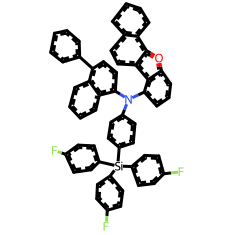 Fc1ccc([Si](c2ccc(F)cc2)(c2ccc(F)cc2)c2ccc(N(c3ccc(-c4ccccc4)c4ccccc34)c3cccc4oc5c6ccccc6ccc5c34)cc2)cc1